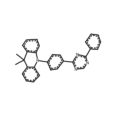 CC1(C)c2ccccc2N(c2ccc(-c3ncnc(-c4ccccc4)n3)cc2)c2ccccc21